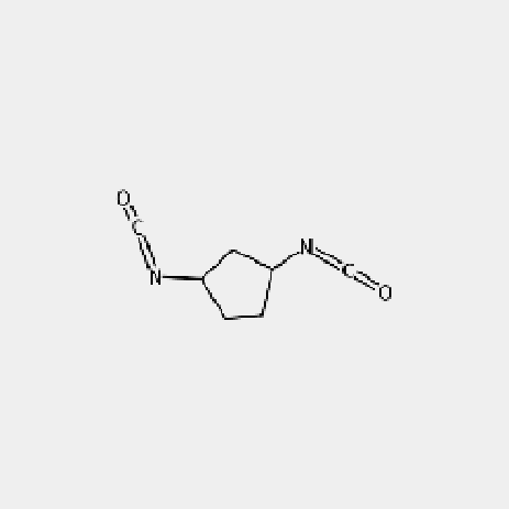 O=C=NC1CCC(N=C=O)C1